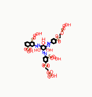 O=S(=O)(O)OCCS(=O)(=O)c1ccc(/N=N/c2c(O)c(/N=N/c3ccc(S(=O)(=O)CCOSOOO)cc3)c(O)c(/N=N/c3cc(SOOO)c4cccc(S(=O)(=O)O)c4c3)c2O)c(SOOO)c1